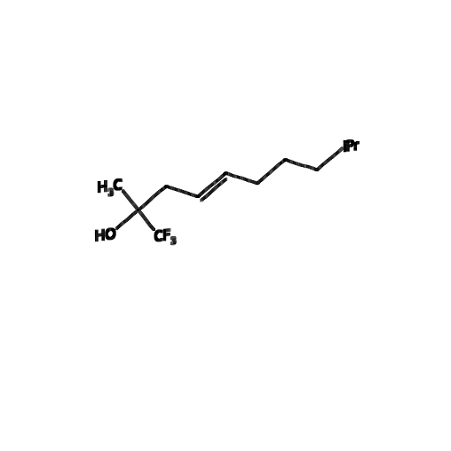 CC(C)CCCC=CCC(C)(O)C(F)(F)F